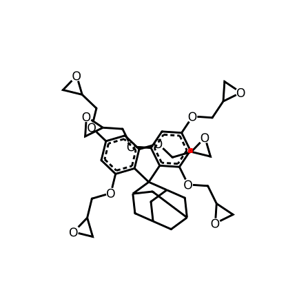 c1c(OCC2CO2)cc(OCC2CO2)c(C2(c3c(OCC4CO4)cc(OCC4CO4)cc3OCC3CO3)C3CC4CC(C3)CC2C4)c1OCC1CO1